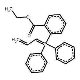 C=CC=P(c1ccccc1)(c1ccccc1)c1ccccc1C(=O)OCC